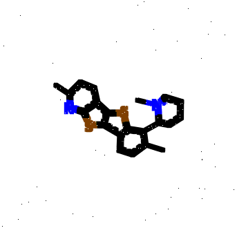 Cc1ccc2c(n1)sc1c3ccc(C)c(-c4cccc[n+]4C)c3sc21